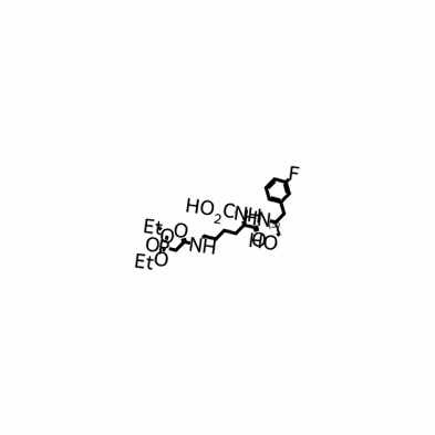 CCOP(=O)(CC(=O)NCCCCC(NC(=O)O)C(=O)N[C@H](CO)Cc1cccc(F)c1)OCC